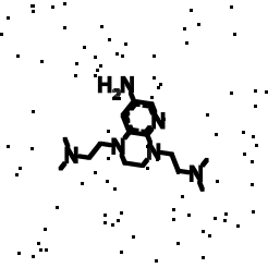 CN(C)CCN1CCN(CCN(C)C)c2ncc(N)cc21